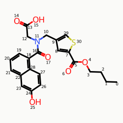 CCCCOC(=O)c1cc(CN(CC(=O)O)C(=O)c2cccc3cc(O)ccc23)cs1